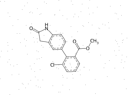 COC(=O)c1cccc(Cl)c1-c1ccc2c(c1)CC(=O)N2